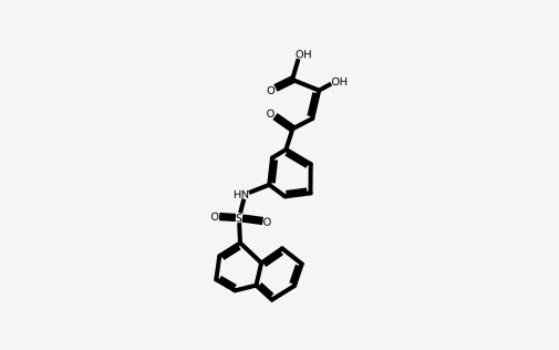 O=C(O)/C(O)=C\C(=O)c1cccc(NS(=O)(=O)c2cccc3ccccc23)c1